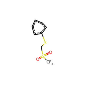 O=S(=O)(CSc1ccccc1)C(F)(F)F